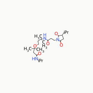 CC(C)NC(=O)CC(C)(C)OCCC(C)(C)NC(=O)CCN1C(=O)CC(C(C)C)C1=O